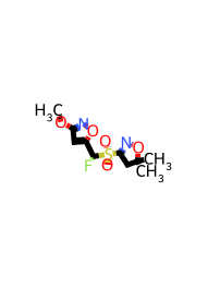 COc1cc(C(F)S(=O)(=O)C2=NOC(C)(C)C2)on1